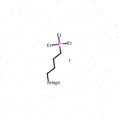 CCCCCCCCCCC[P+](CC)(CC)CC.[I-]